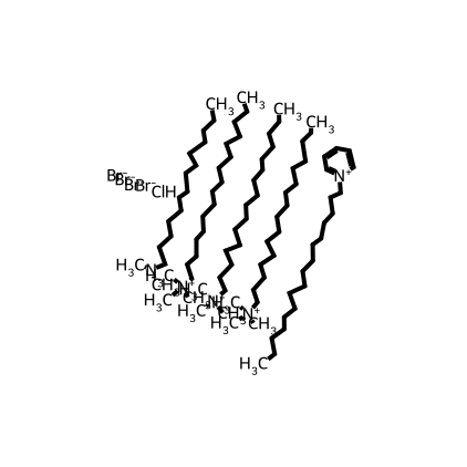 CCCCCCCCCCCCCCCC[N+](C)(C)C.CCCCCCCCCCCCCCCC[N+](C)(C)C.CCCCCCCCCCCCCCCC[N+](C)(C)C.CCCCCCCCCCCCCCCC[n+]1ccccc1.CCCCCCCCCCCCCCN(C)C.Cl.[Br-].[Br-].[Br-].[Br-]